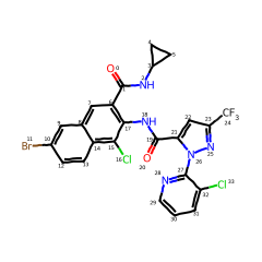 O=C(NC1CC1)c1cc2cc(Br)ccc2c(Cl)c1NC(=O)c1cc(C(F)(F)F)nn1-c1ncccc1Cl